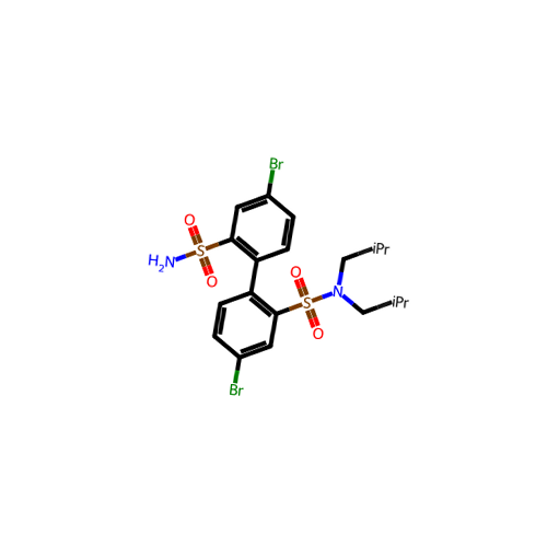 CC(C)CN(CC(C)C)S(=O)(=O)c1cc(Br)ccc1-c1ccc(Br)cc1S(N)(=O)=O